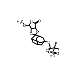 COC1OC(=O)C2OC3(OC12)C1CC2CC3CC(OC(=O)C(F)(F)S(=O)(=O)O)(C2)C1